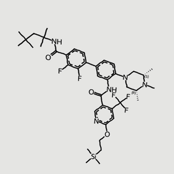 C[C@@H]1CN(c2ccc(-c3ccc(C(=O)NC(C)(C)CC(C)(C)C)c(F)c3F)cc2NC(=O)c2cnc(OCC[Si](C)(C)C)cc2C(F)(F)F)C[C@H](C)N1C